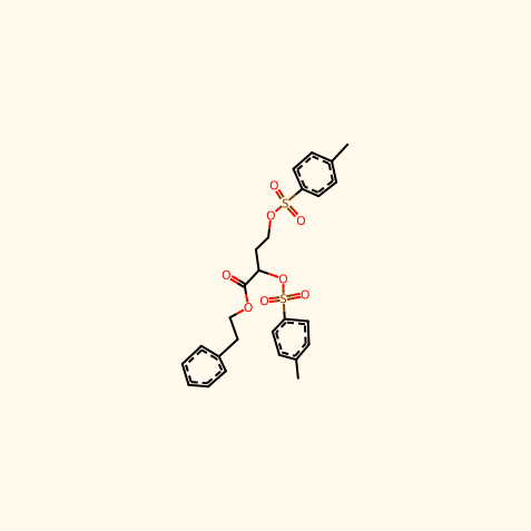 Cc1ccc(S(=O)(=O)OCCC(OS(=O)(=O)c2ccc(C)cc2)C(=O)OCCc2ccccc2)cc1